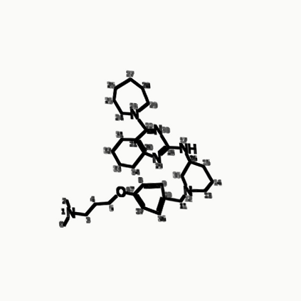 CN(C)CCCOc1ccc(CN2CCCC(Nc3nc4c(c(N5CCCCCC5)n3)CCCC4)C2)cc1